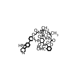 CN(C(=O)c1c(C=O)cccc1OCC(=O)NCC(C)(C)COCC(C)(C)CNC(=O)COc1ccc(-c2ccc3c4c([nH]c3c2)CCN=C4)cn1)C1CCC(=O)NC1=O